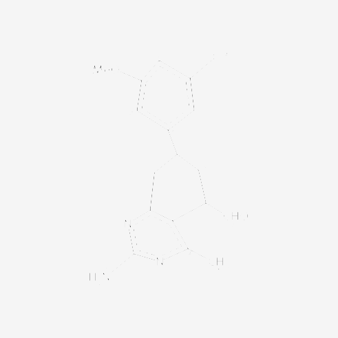 COc1cc(Cl)cc(C2Cc3nc(N)nc(C)c3C(C=O)C2)c1